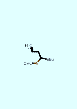 C=CCC(CCCC)S[C]=O